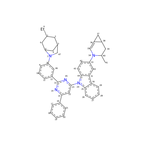 CCC1CC2CC(C1)N(c1cccc(-c3nc(-c4ccccc4)cc(-n4c5ccccc5c5cc(N6C=C7CC7CC6C)ccc54)n3)c1)C2